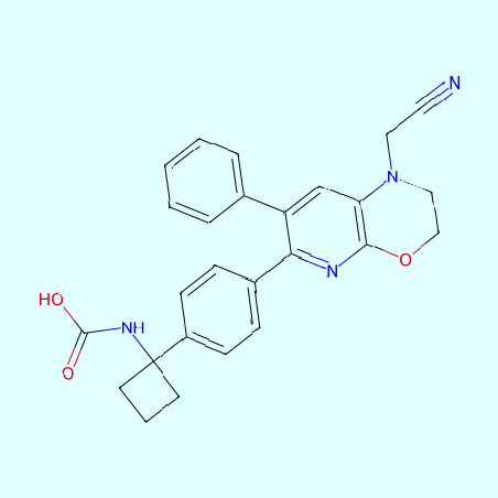 N#CCN1CCOc2nc(-c3ccc(C4(NC(=O)O)CCC4)cc3)c(-c3ccccc3)cc21